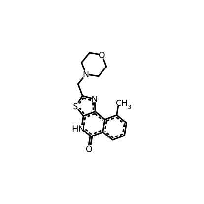 Cc1cccc2c(=O)[nH]c3sc(CN4CCOCC4)nc3c12